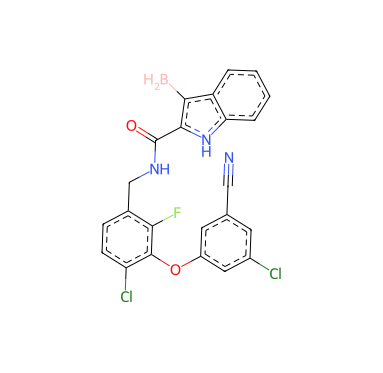 Bc1c(C(=O)NCc2ccc(Cl)c(Oc3cc(Cl)cc(C#N)c3)c2F)[nH]c2ccccc12